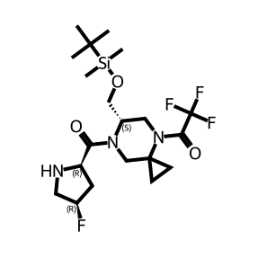 CC(C)(C)[Si](C)(C)OC[C@@H]1CN(C(=O)C(F)(F)F)C2(CC2)CN1C(=O)[C@H]1C[C@@H](F)CN1